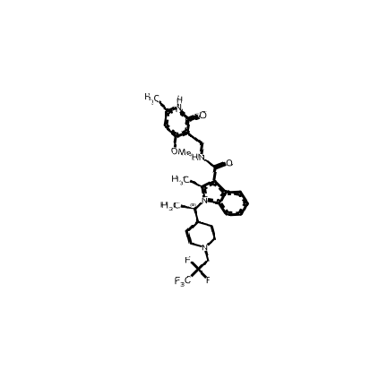 COc1cc(C)[nH]c(=O)c1CNC(=O)c1c(C)n([C@H](C)C2CCN(CC(F)(F)C(F)(F)F)CC2)c2ccccc12